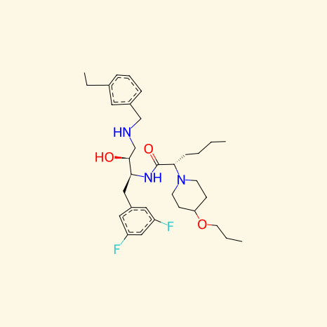 CCCC[C@@H](C(=O)N[C@@H](Cc1cc(F)cc(F)c1)[C@@H](O)CNCc1cccc(CC)c1)N1CCC(OCCC)CC1